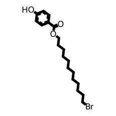 O=C(OCCCCCCCCCCCCBr)c1ccc(O)cc1